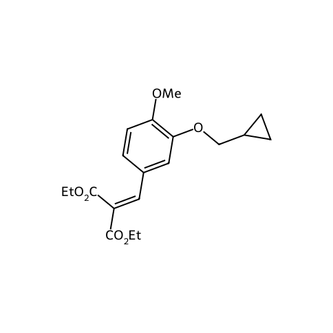 CCOC(=O)C(=Cc1ccc(OC)c(OCC2CC2)c1)C(=O)OCC